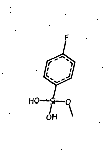 CO[Si](O)(O)c1ccc(F)cc1